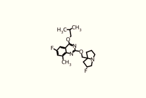 Cc1cc(F)cc2c(OCC(C)C)nc(OCC34CCCN3C[C@H](F)C4)nc12